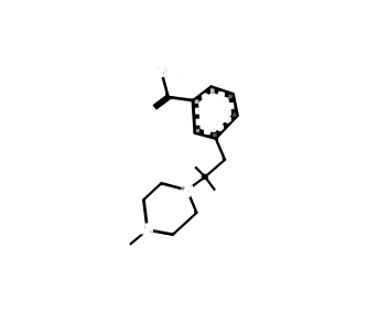 CN1CCN(C(O)(Cl)Cc2cccc(C(N)=O)c2)CC1